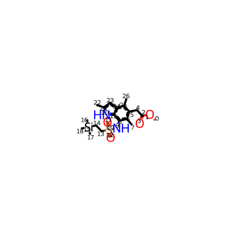 COC(=O)Cc1c(C)c(NS(=O)(=O)CC[Si](C)(C)C)c2[nH]c(C)cc2c1C